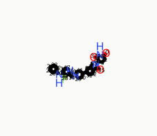 O=C1CCC(N2Cc3cc(C4CCN(Cc5nccc(Nc6ccccc6)c5F)CC4)ccc3C2=O)C(=O)N1